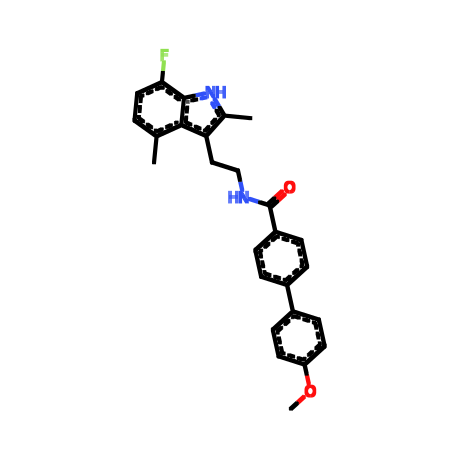 COc1ccc(-c2ccc(C(=O)NCCc3c(C)[nH]c4c(F)ccc(C)c34)cc2)cc1